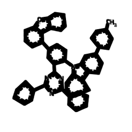 Cc1ccc(-c2ccc3c4ccccc4n(-c4ccc(-c5cccc6oc7ccccc7c56)cc4-c4nc(-c5ccccc5)nc(-c5ccccc5)n4)c3c2)cc1